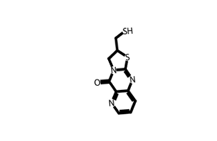 O=c1c2ncccc2nc2n1CC(CS)S2